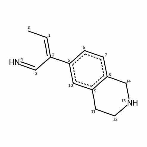 C/C=C(\C=N)c1ccc2c(c1)CCNC2